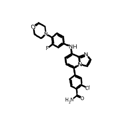 NC(=O)c1ccc(-c2ccc(Nc3ccc(N4CCOCC4)c(F)c3)c3nccn23)cc1Cl